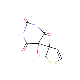 O=C1NC(=O)C(O)(C2(Br)C=CSC2)C(=O)N1